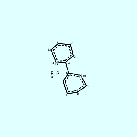 [Eu+3].c1ccc(-c2ccccn2)nc1